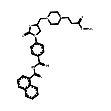 COC(=O)CCN1CCN(CC2CN(c3ccc(C(=N)NC(=O)c4cccc5ccccc45)cc3)C(=O)O2)CC1